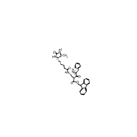 C[C@H]1NC(=O)N[C@H]1CCCCCC(=O)NCCN(C(=O)OCC1c2ccccc2-c2ccccc21)C(=O)[C@@H](N)Cc1ccccc1